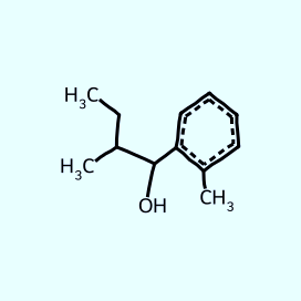 CCC(C)C(O)c1ccccc1C